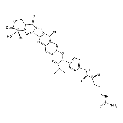 CCc1c2c(nc3ccc(OC(C(=O)N(C)C)c4ccc(NC(=O)[C@@H](N)CCCNC(N)=O)cc4)cc13)-c1cc3c(c(=O)n1C2)COC(=O)[C@]3(O)CC